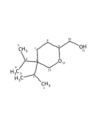 CC(C)C1(C(C)C)CCC(CO)OC1